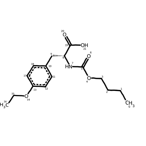 CCCCOC(=O)N[C@H](Cc1ccc(OCC)cc1)C(=O)O